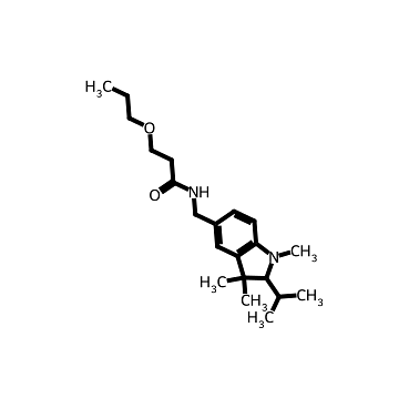 CCCOCCC(=O)NCc1ccc2c(c1)C(C)(C)C(C(C)C)N2C